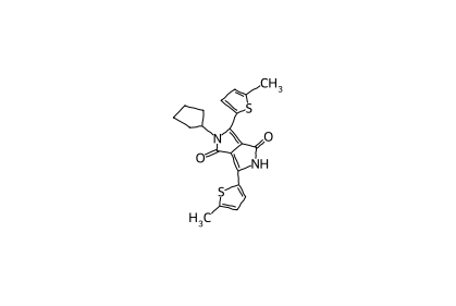 Cc1ccc(C2=C3C(=O)N(C4CCCC4)C(c4ccc(C)s4)=C3C(=O)N2)s1